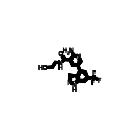 Nc1ncc(-c2cc(C(F)(F)F)cc3[nH]ncc23)cc1C(=O)NCCO